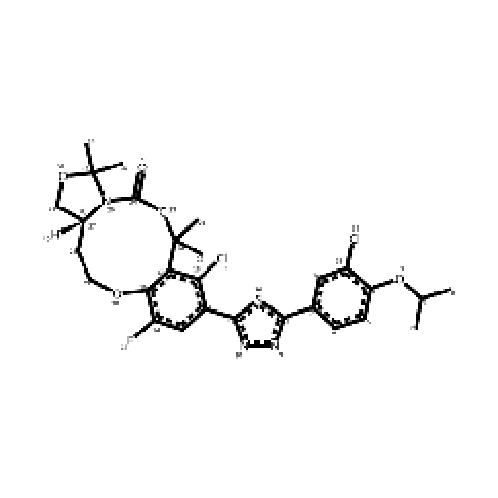 CC(C)Oc1ccc(-c2nnc(-c3cc(F)c4c(c3Cl)C(C)(C)OC(=O)N3[C@H](CCO4)COC3(C)C)s2)cc1Cl